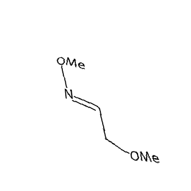 [CH2]OCC=NOC